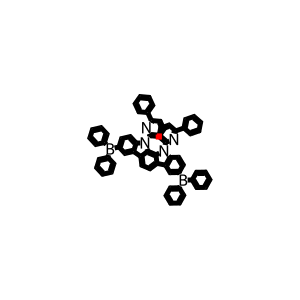 c1ccc(B(c2ccccc2)c2ccc3c(c2)c2ccc4c5cc(B(c6ccccc6)c6ccccc6)ccc5n(-c5cccc(-c6ccccc6)n5)c4c2n3-c2cccc(-c3ccccc3)n2)cc1